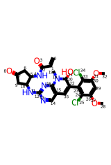 C=CC(=O)NC1CC(=O)CC1Nc1ncc2c(n1)N(C)C(O)C(c1c(Cl)c(OC)cc(OC)c1Cl)=C2